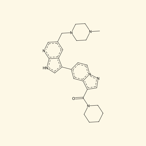 CN1CCN(Cc2cnc3[nH]cc(-c4ccn5ncc(C(=O)N6CCCCC6)c5c4)c3c2)CC1